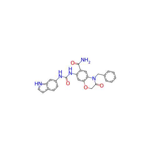 NC(=O)c1cc2c(cc1NC(=O)Nc1ccc3cc[nH]c3c1)OCC(=O)N2Cc1ccccc1